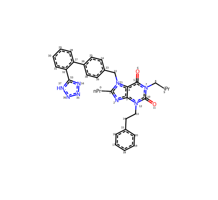 CCCc1nc2c(c(=O)n(CC(C)C)c(=O)n2CCc2ccccc2)n1Cc1ccc(-c2ccccc2-c2nnn[nH]2)cc1